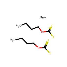 CCCCOC(=S)[S-].CCCCOC(=S)[S-].[Te+2]